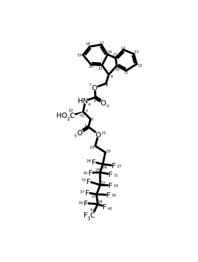 O=C(C[C@H](NC(=O)OCC1c2ccccc2-c2ccccc21)C(=O)O)OCCC(F)(F)C(F)(F)C(F)(F)C(F)(F)C(F)(F)C(F)(F)F